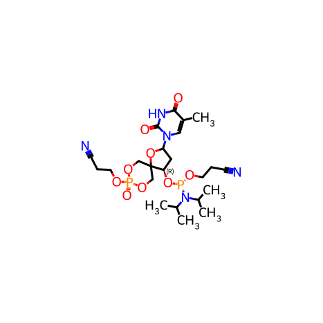 Cc1cn(C2C[C@@H](OP(OCCC#N)N(C(C)C)C(C)C)C3(COP(=O)(OCCC#N)OC3)O2)c(=O)[nH]c1=O